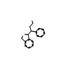 O=C(O)CCC(c1ccccc1)C1NCc2ccccc21